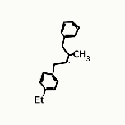 CCc1ccc(C[CH]C(C)Cc2ccccc2)cc1